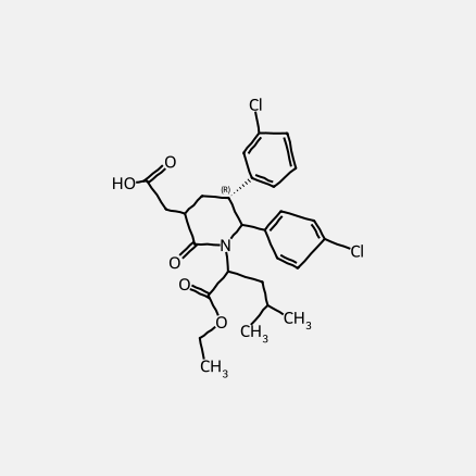 CCOC(=O)C(CC(C)C)N1C(=O)C(CC(=O)O)C[C@H](c2cccc(Cl)c2)C1c1ccc(Cl)cc1